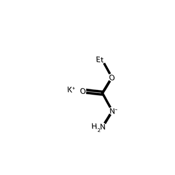 CCOC(=O)[N-]N.[K+]